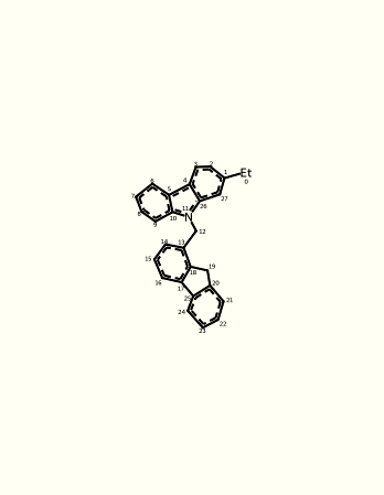 CCc1ccc2c3ccccc3n(Cc3cccc4c3Cc3ccccc3-4)c2c1